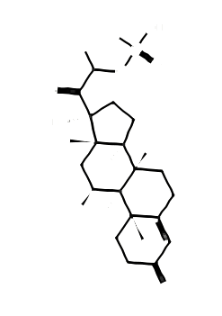 C[C@]12CCC(=O)C=C1CC[C@@H]1[C@@H]2[C@@H](O)C[C@@]2(C)[C@H]1CC[C@]2(O)C(=O)C(O)OP(=O)(O)O